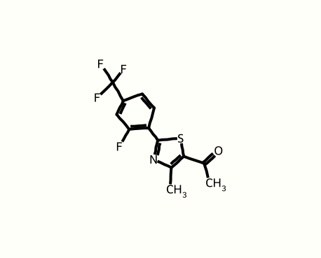 CC(=O)c1sc(-c2ccc(C(F)(F)F)cc2F)nc1C